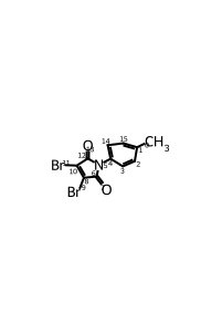 Cc1ccc(N2C(=O)C(Br)=C(Br)C2=O)cc1